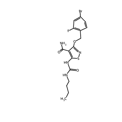 CCCCNC(=O)Nc1snc(OCc2ccc(Br)cc2F)c1C(N)=O